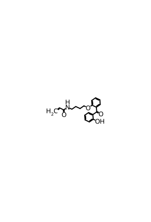 C=CC(=O)NCCCCOc1ccccc1C(=O)c1ccccc1O